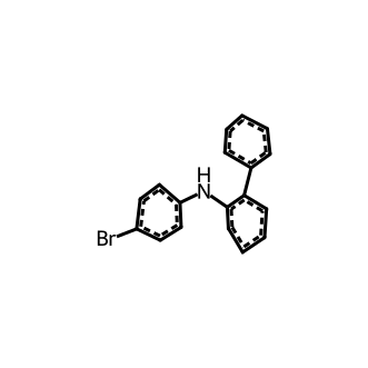 Brc1ccc(Nc2ccccc2-c2ccccc2)cc1